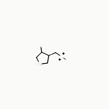 CCC1CNCC1CS(C)(=O)=O